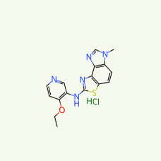 CCOc1ccncc1Nc1nc2c(ccc3c2ncn3C)s1.Cl